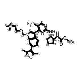 Cc1noc(C)c1-c1ccc2c(-c3nc(N[C@H]4CCCC4NC(=O)OC(C)(C)C)ncc3C(F)(F)F)cn(COCC[Si](C)(C)C)c2c1